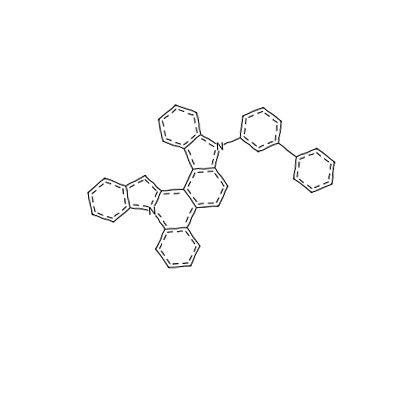 c1ccc(-c2cccc(-n3c4ccccc4c4c5c(ccc43)c3ccccc3n3c4ccccc4cc53)c2)cc1